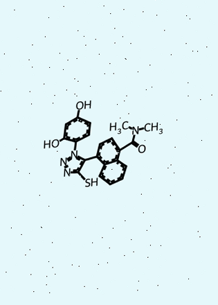 CN(C)C(=O)c1ccc(-c2c(S)nnn2-c2ccc(O)cc2O)c2ccccc12